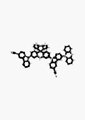 N#Cc1ccc2c(c1)-c1ccccc1C2c1ccc2c(c1)Oc1cc(-n3c4ccc(C#N)cc4c4cc(N5c6ccccc6Oc6ccccc65)ccc43)ccc1C21c2cccnc2-c2ncccc21